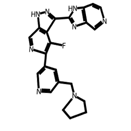 Fc1c(-c2cncc(CN3CCCC3)c2)ncc2[nH]nc(-c3nc4cnccc4[nH]3)c12